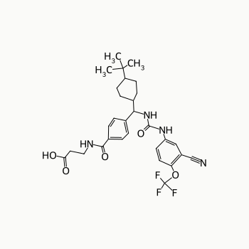 CC(C)(C)C1CCC(C(NC(=O)Nc2ccc(OC(F)(F)F)c(C#N)c2)c2ccc(C(=O)NCCC(=O)O)cc2)CC1